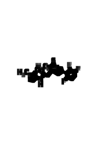 CN1CCC(NC(=O)Cc2c3n(c(=S)n2C)C[C@@H](c2c(F)ccc(F)c2F)C3)C1=O